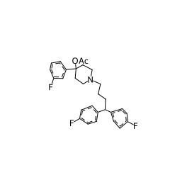 CC(=O)OC1(c2cccc(F)c2)CCN(CCCC(c2ccc(F)cc2)c2ccc(F)cc2)CC1